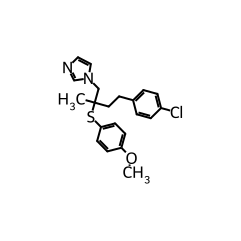 COc1ccc(SC(C)(CCc2ccc(Cl)cc2)Cn2ccnc2)cc1